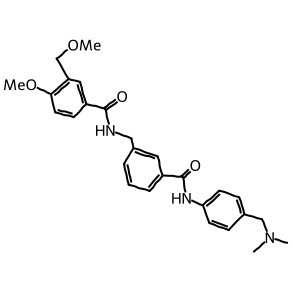 COCc1cc(C(=O)NCc2cccc(C(=O)Nc3ccc(CN(C)C)cc3)c2)ccc1OC